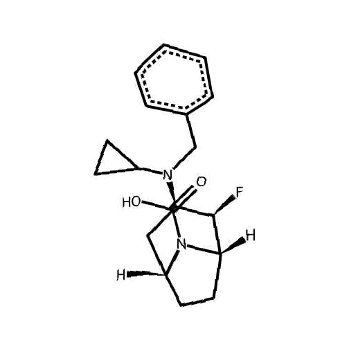 O=C(O)N1[C@@H]2CC[C@H]1[C@H](F)[C@H](N(Cc1ccccc1)C1CC1)C2